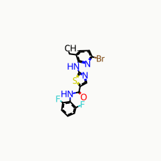 CCc1ccc(Br)nc1Nc1ncc(C(=O)Nc2c(F)cccc2F)s1